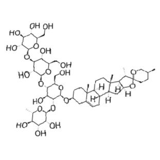 C[C@H]1CC[C@@]2(OC1)O[C@H]1C[C@H]3[C@@H]4CC=C5C[C@@H](O[C@@H]6O[C@H](CO)[C@@H](O[C@@H]7O[C@H](CO)[C@@H](O)[C@H](O[C@@H]8O[C@H](CO)[C@@H](O)[C@H](O)[C@H]8O)[C@H]7O)[C@H](O)[C@H]6O[C@@H]6O[C@@H](C)[C@H](O)[C@@H](O)[C@H]6O)CC[C@]5(C)[C@H]4CC[C@]3(C)[C@H]1[C@@H]2C